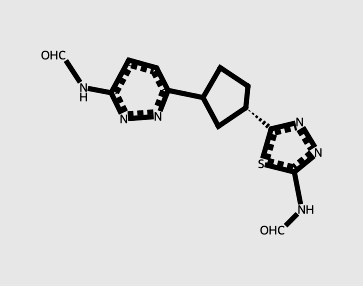 O=CNc1ccc(C2CC[C@H](c3nnc(NC=O)s3)C2)nn1